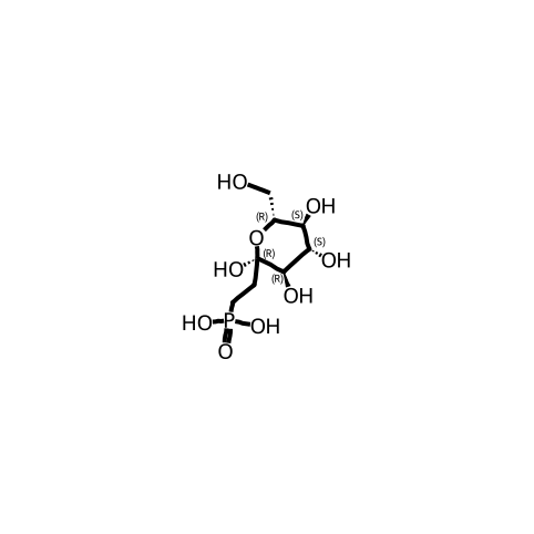 O=P(O)(O)CC[C@@]1(O)O[C@H](CO)[C@@H](O)[C@H](O)[C@H]1O